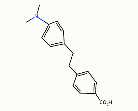 CN(C)c1ccc(CCc2ccc(C(=O)O)cc2)cc1